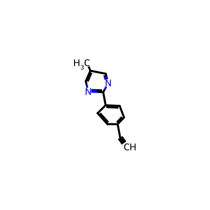 C#Cc1ccc(-c2ncc(C)cn2)cc1